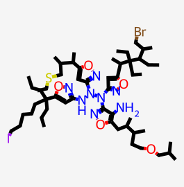 CCCC(CCC)(CCCCCI)c1cc(NN(c2cc(C(C)C(C)CSCC)on2)N(c2cc(C(C)C(CC)(CC)C(CC)C(C)CBr)on2)c2noc(CC(C)C(C)CCOCC(C)C)c2N)no1